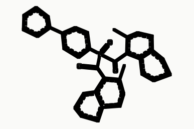 Cc1ccc2ccccc2c1C(=O)P(=O)(C(=O)c1c(C)ccc2ccccc12)c1ccc(-c2ccccc2)cc1